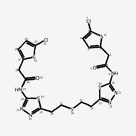 O=C(Cc1ccc(Cl)s1)Nc1nnc(CCSCCc2nnc(NC(=O)Cc3ccc(Cl)s3)s2)s1